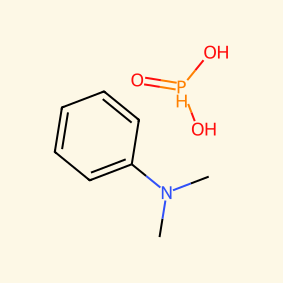 CN(C)c1ccccc1.O=[PH](O)O